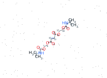 CC(C)NC(=O)OCCOC(=O)/C=C/C(=O)OCCOC(=O)NC(C)C